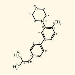 Cc1ccc(-c2ccc(OC(C)C)cc2)cc1N1CCOCC1